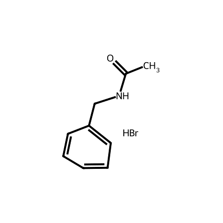 Br.CC(=O)NCc1ccccc1